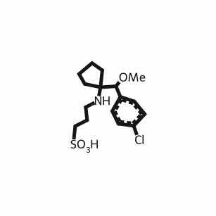 COC(c1ccc(Cl)cc1)C1(NCCCS(=O)(=O)O)CCCC1